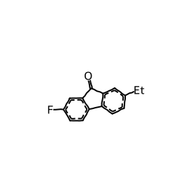 CCc1ccc2c(c1)C(=O)c1cc(F)ccc1-2